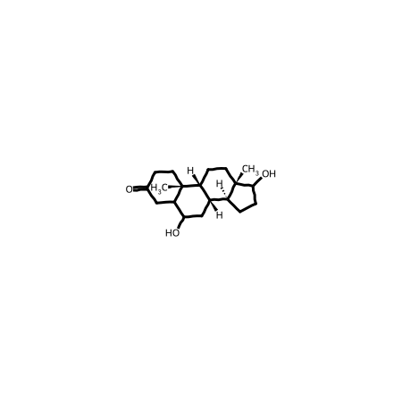 C[C@]12CCC(=O)CC1C(O)C[C@@H]1[C@H]2CC[C@]2(C)C(O)CC[C@@H]12